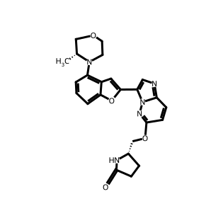 C[C@@H]1COCCN1c1cccc2oc(-c3cnc4ccc(OC[C@@H]5CCC(=O)N5)nn34)cc12